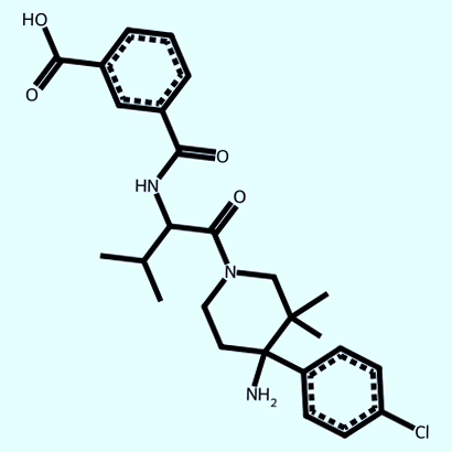 CC(C)C(NC(=O)c1cccc(C(=O)O)c1)C(=O)N1CCC(N)(c2ccc(Cl)cc2)C(C)(C)C1